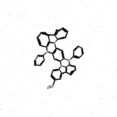 CC(C)(C)c1ccc2c(c1)-c1cccc3c1B2c1cc2c(cc1N3c1ccccc1)B1c3ccccc3-c3cccc(c31)N2c1ccccc1